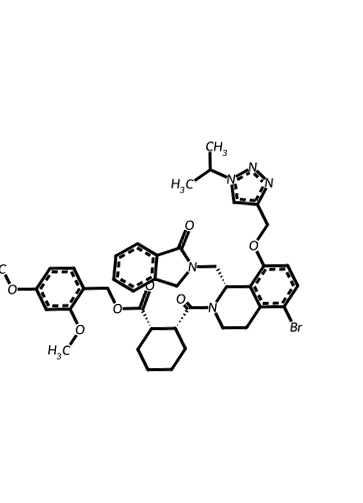 COc1ccc(COC(=O)[C@H]2CCCC[C@H]2C(=O)N2CCc3c(Br)ccc(OCc4cn(C(C)C)nn4)c3[C@H]2CN2Cc3ccccc3C2=O)c(OC)c1